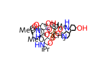 CC#C/C=C\C#C[C@H](OC1OC(C)C2(SC)COC(c3nccc4c3[nH]c3ccc(O)cc34)OC2C1OC1CC(OC)C(NC(C)C)CO1)C1=C(NC(=O)OC)C(=O)C[C@H](O)/C1=C/CS(C)(=S)=S